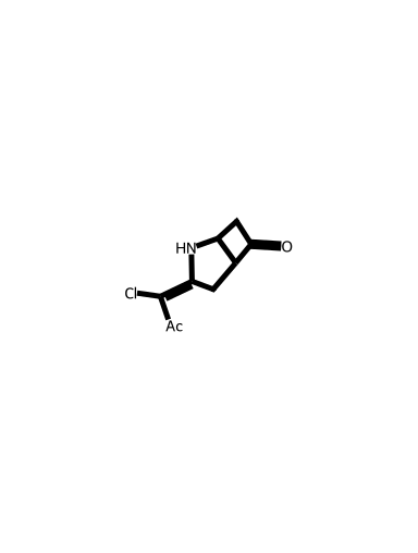 CC(=O)/C(Cl)=C1\CC2C(=O)CC2N1